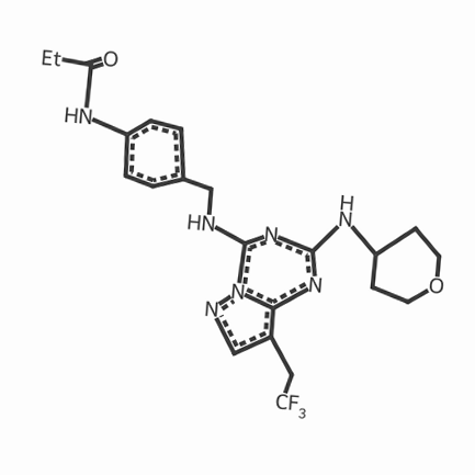 CCC(=O)Nc1ccc(CNc2nc(NC3CCOCC3)nc3c(CC(F)(F)F)cnn23)cc1